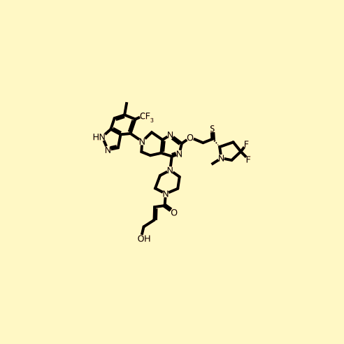 Cc1cc2[nH]ncc2c(N2CCc3c(nc(OCC(=S)[C@@H]4CC(F)(F)CN4C)nc3N3CCN(C(=O)/C=C/CO)CC3)C2)c1C(F)(F)F